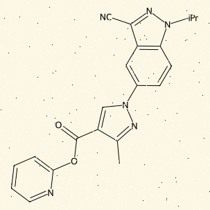 Cc1nn(-c2ccc3c(c2)c(C#N)nn3C(C)C)cc1C(=O)Oc1ccccn1